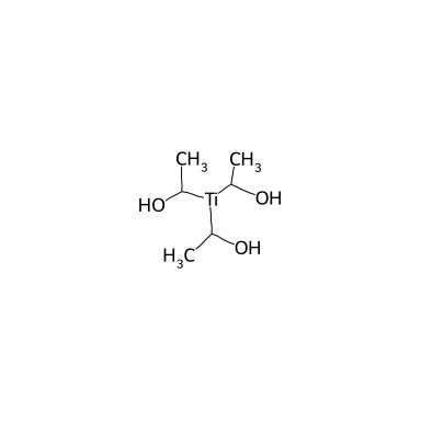 C[CH](O)[Ti]([CH](C)O)[CH](C)O